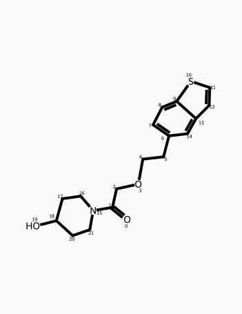 O=C(COCCc1ccc2sccc2c1)N1CCC(O)CC1